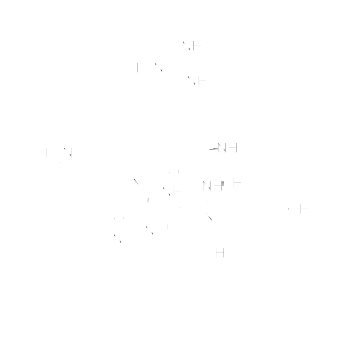 Cc1cc(O)cc(C)c1C[C@H](NC(=O)[C@H](N)CCCNC(N)N)C(=O)N[C@H](CCCCN)c1nc(Cc2ccccc2)no1